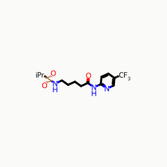 CC(C)S(=O)(=O)NCCCCC(=O)Nc1ccc(C(F)(F)F)cn1